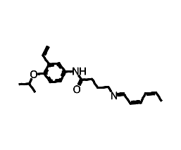 C=Cc1cc(NC(=O)CCC/N=C/C=C\C=C/C)ccc1OC(C)C